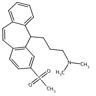 CN(C)CCCC1c2ccccc2C=Cc2ccc(S(C)(=O)=O)cc21